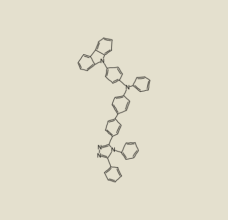 c1ccc(-c2nnc(-c3ccc(-c4ccc(N(c5ccccc5)c5ccc(-n6c7ccccc7c7ccccc76)cc5)cc4)cc3)n2-c2ccccc2)cc1